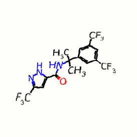 CC(C)(NC(=O)c1cc(C(F)(F)F)n[nH]1)c1cc(C(F)(F)F)cc(C(F)(F)F)c1